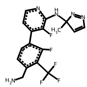 CC1(Nc2nccc(-c3ccc(CN)c(C(F)(F)F)c3F)c2F)C=CN=N1